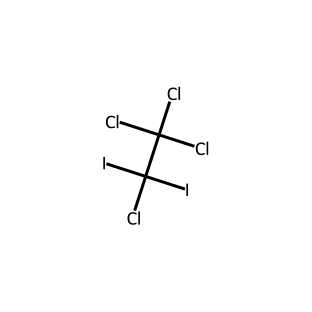 ClC(Cl)(Cl)C(Cl)(I)I